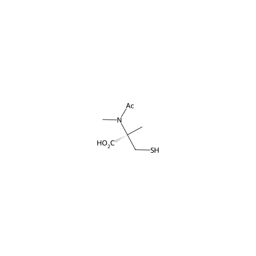 CC(=O)N(C)[C@@](C)(CS)C(=O)O